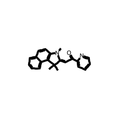 CN1/C(=C\C(=O)c2ccccn2)C(C)(C)c2c1ccc1ccccc21